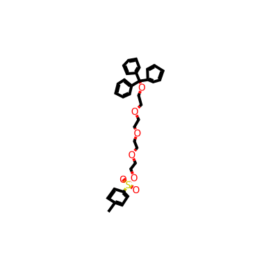 Cc1ccc(S(=O)(=O)OCCOCCOCCOCCOC(c2ccccc2)(c2ccccc2)c2ccccc2)cc1